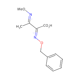 CO/N=C(C)/C(=N/OCc1ccccc1)C(=O)O